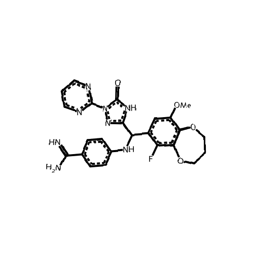 COc1cc(C(Nc2ccc(C(=N)N)cc2)c2nn(-c3ncccn3)c(=O)[nH]2)c(F)c2c1OCCCO2